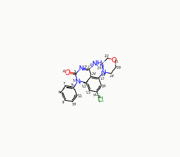 Nc1nc(=O)n(-c2ccccc2)c2cc(Cl)cc(N3CCOCC3)c12